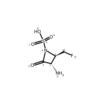 N[C@@H]1C(=O)N(S(=O)(=O)O)[C@H]1CF